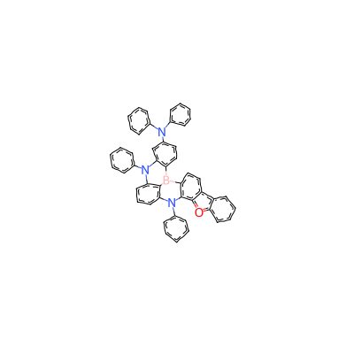 c1ccc(N(c2ccccc2)c2ccc3c(c2)N(c2ccccc2)c2cccc4c2B3c2ccc3c(oc5ccccc53)c2N4c2ccccc2)cc1